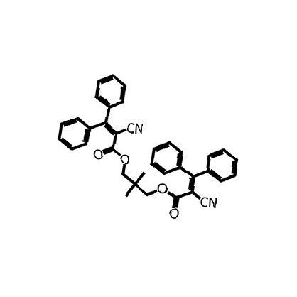 CC(C)(COC(=O)C(C#N)=C(c1ccccc1)c1ccccc1)COC(=O)C(C#N)=C(c1ccccc1)c1ccccc1